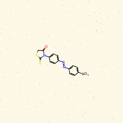 O=C1CSC(=S)N1c1ccc(N=Nc2ccc([N+](=O)[O-])cc2)cc1